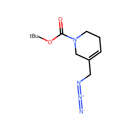 CC(C)(C)OC(=O)N1CCC=C(CN=[N+]=[N-])C1